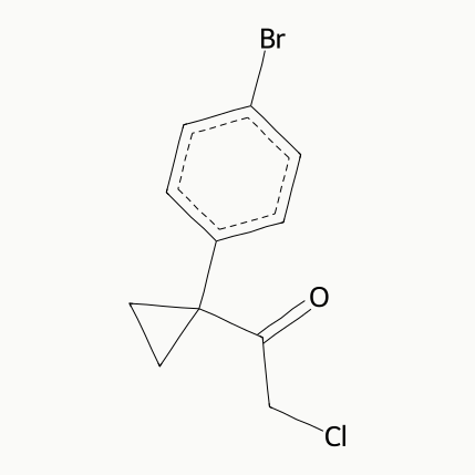 O=C(CCl)C1(c2ccc(Br)cc2)CC1